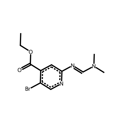 CCOC(=O)c1cc(N=CN(C)C)ncc1Br